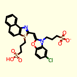 O=S(=O)([O-])CCCN1C(=Cc2nc3c4ccccc4ccc3[s+]2CCCS(=O)(=O)O)Oc2ccc(Cl)cc21